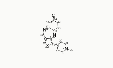 CN1CCN(c2scc3c2N=c2ccc(Cl)cc2=NC3)CC1